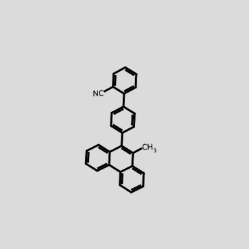 Cc1c(-c2ccc(-c3ccccc3C#N)cc2)c2ccccc2c2ccccc12